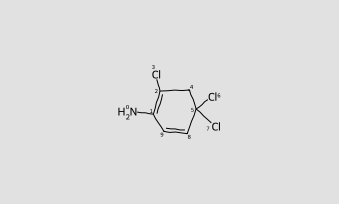 NC1=C(Cl)CC(Cl)(Cl)C=C1